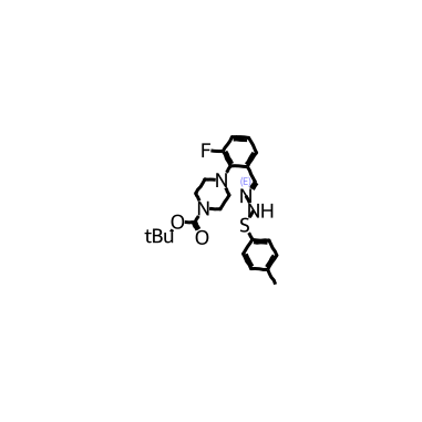 Cc1ccc(SN/N=C/c2cccc(F)c2N2CCN(C(=O)OC(C)(C)C)CC2)cc1